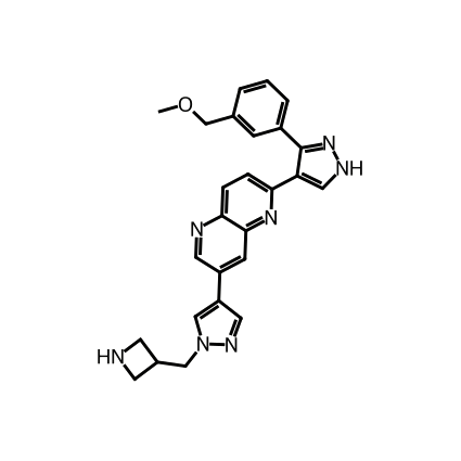 COCc1cccc(-c2n[nH]cc2-c2ccc3ncc(-c4cnn(CC5CNC5)c4)cc3n2)c1